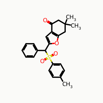 Cc1ccc(S(=O)(=O)C(c2ccccc2)c2cc3c(o2)CC(C)(C)CC3=O)cc1